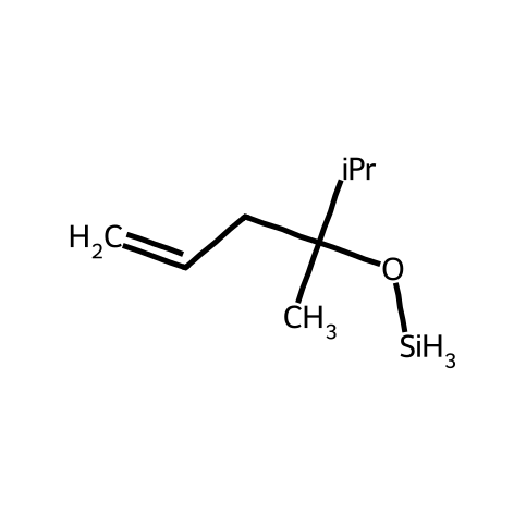 C=CCC(C)(O[SiH3])C(C)C